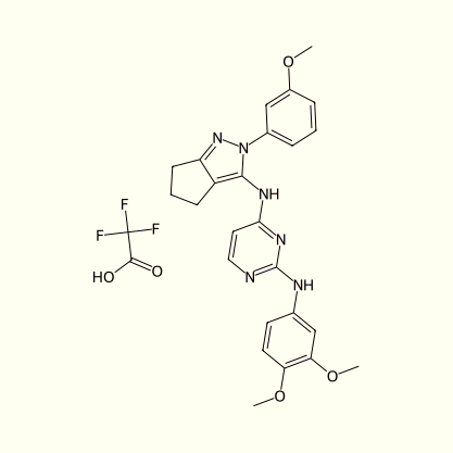 COc1cccc(-n2nc3c(c2Nc2ccnc(Nc4ccc(OC)c(OC)c4)n2)CCC3)c1.O=C(O)C(F)(F)F